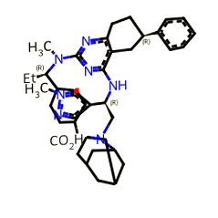 CC[C@H](C1CCC(C(=O)O)CC1)N(C)c1nc2c(c(N[C@@H](CN3C4CC5CC(C4)CC3C5)c3cnn(C)c3)n1)C[C@H](c1ccccc1)CC2